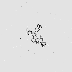 C[C@H]1C(=O)N(C)Cc2c(-c3cccc4nc(-c5cnn(C)c5)c(C(F)F)cc34)nc(C3CCS(=O)(=O)CC3)n21